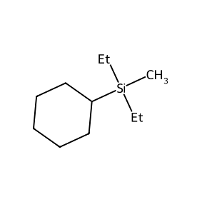 CC[Si](C)(CC)C1CCCCC1